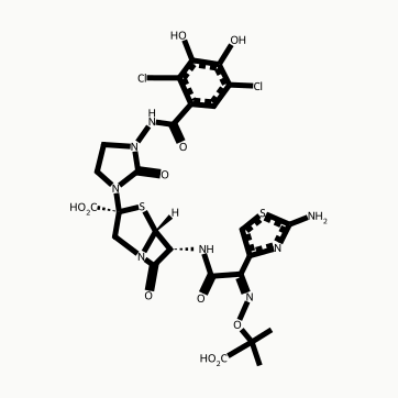 CC(C)(O/N=C(\C(=O)N[C@@H]1C(=O)N2C[C@@](C(=O)O)(N3CCN(NC(=O)c4cc(Cl)c(O)c(O)c4Cl)C3=O)S[C@H]12)c1csc(N)n1)C(=O)O